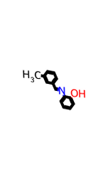 Cc1cccc(/C=N/c2ccccc2O)c1